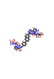 COC(=O)N[C@@H](C)C(=O)N1CCC[C@H]1C(=O)NCc1ccc(-c2ccc3cc(-c4cnc([C@@H]5CCCN5C(=O)[C@H](C)NC(=O)OC)[nH]4)ccc3c2)cc1